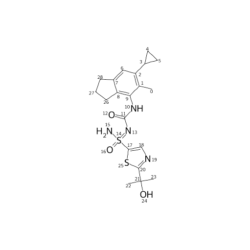 Cc1c(C2CC2)cc2c(c1NC(=O)N=S(N)(=O)c1cnc(C(C)(C)O)s1)CCC2